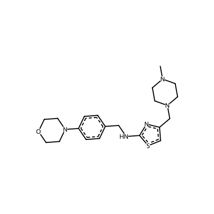 CN1CCN(Cc2csc(NCc3ccc(N4CCOCC4)cc3)n2)CC1